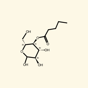 CCCCC(=O)O[C@H]1[C@H](O)[C@@H](O)C(O)O[C@@H]1CO